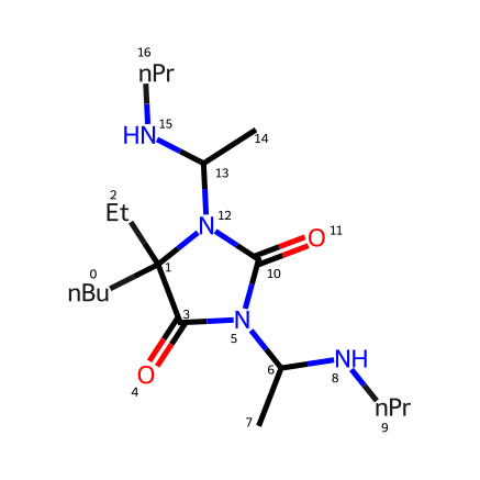 CCCCC1(CC)C(=O)N(C(C)NCCC)C(=O)N1C(C)NCCC